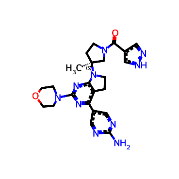 C[C@]1(N2CCc3c(-c4cnc(N)nc4)nc(N4CCOCC4)nc32)CCN(C(=O)c2cn[nH]c2)C1